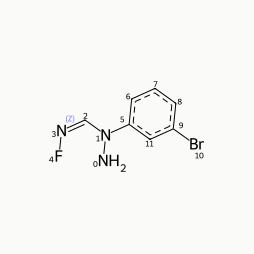 NN(/C=N\F)c1cccc(Br)c1